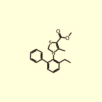 CCc1cccc(-c2ccccc2)c1N1CSC(C(=O)OC)=C1C